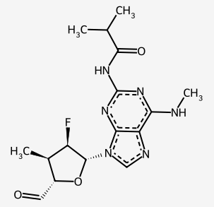 CNc1nc(NC(=O)C(C)C)nc2c1ncn2[C@@H]1O[C@H](C=O)[C@@H](C)[C@H]1F